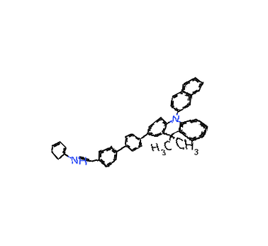 CC1(C)c2ccccc2N(c2ccc3ccccc3c2)c2ccc(-c3ccc(-c4ccc(/C=C/NC5=CC=CCC5)cc4)cc3)cc21